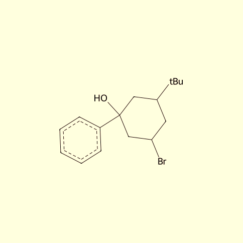 CC(C)(C)C1CC(Br)CC(O)(c2ccccc2)C1